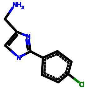 NCC1=C[N]C(c2ccc(Cl)cc2)=N1